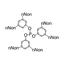 CCCCCCCCCc1cc(CCCCCCCCC)cc(OP(Oc2cc(CCCCCCCCC)cc(CCCCCCCCC)c2)Oc2cc(CCCCCCCCC)cc(CCCCCCCCC)c2)c1